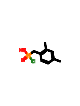 Cc1ccc(CP(=O)(O)Cl)c(C)c1